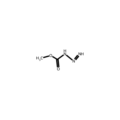 COC(=O)NN=N